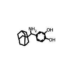 NC(c1ccc(O)c(O)c1)C12CC3CC(CC(C3)C1)C2